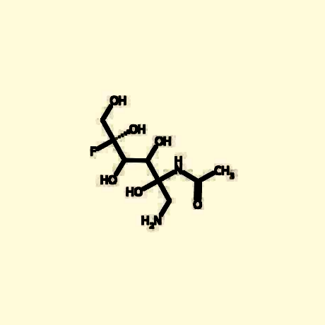 CC(=O)NC(O)(CN)C(O)C(O)[C@@](O)(F)CO